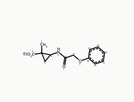 CCOC(=O)C1(C)CC1NC(=O)COc1ccccc1